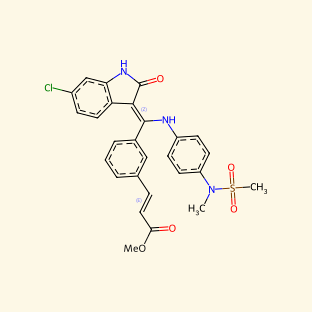 COC(=O)/C=C/c1cccc(/C(Nc2ccc(N(C)S(C)(=O)=O)cc2)=C2/C(=O)Nc3cc(Cl)ccc32)c1